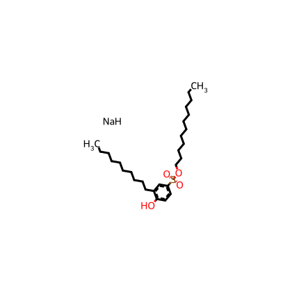 CCCCCCCCCCCCOS(=O)(=O)c1ccc(O)c(CCCCCCCCCC)c1.[NaH]